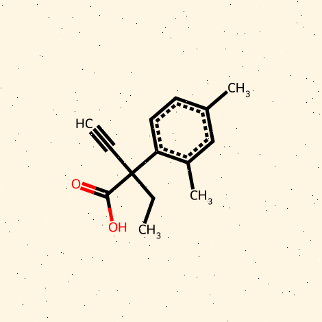 C#CC(CC)(C(=O)O)c1ccc(C)cc1C